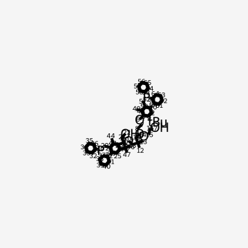 Cc1cc(C(C)(C)C)c(OCCOCC(C)(COCCO)COC2(CO)c3c(cc(C)c(CP(c4ccccc4)c4ccccc4)c3C)C2(C)C)c(C)c1CP(c1ccccc1)c1ccccc1